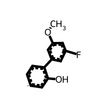 COc1cc(F)cc(-c2cc[c]cc2O)c1